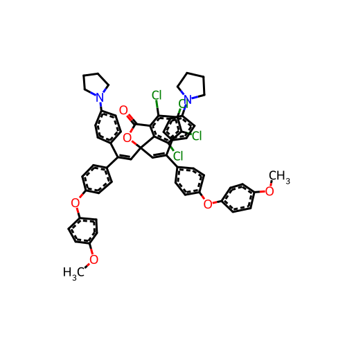 COc1ccc(Oc2ccc(/C(=C/C3(/C=C(/c4ccc(Oc5ccc(OC)cc5)cc4)c4ccc(N5CCCC5)cc4)OC(=O)c4c(Cl)c(Cl)c(Cl)c(Cl)c43)c3ccc(N4CCCC4)cc3)cc2)cc1